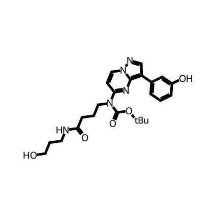 CC(C)(C)OC(=O)N(CCCC(=O)NCCCO)c1ccn2ncc(-c3cccc(O)c3)c2n1